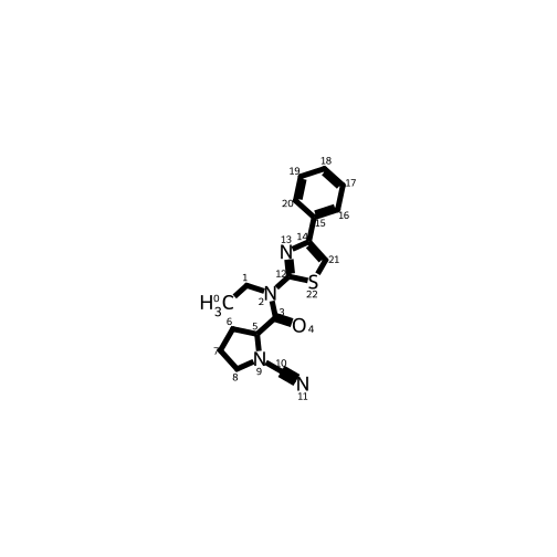 CCN(C(=O)C1CCCN1C#N)c1nc(-c2ccccc2)cs1